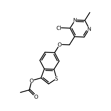 CC(=O)Oc1csc2cc(OCc3cnc(C)nc3Cl)ccc12